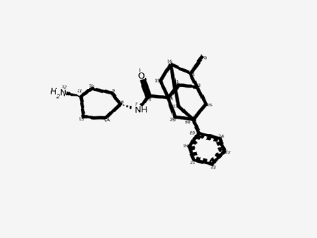 CC1C2CC3(C(=O)N[C@H]4CC[C@H](N)CC4)CC1CC(c1ccccc1)(C2)C3